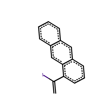 C=C(I)c1cccc2cc3ccccc3cc12